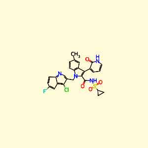 Cc1ccc2c(c1)c(-c1ccc[nH]c1=O)c(C(=O)NS(=O)(=O)C1CC1)n2Cc1cnc2ccc(F)cc2c1Cl